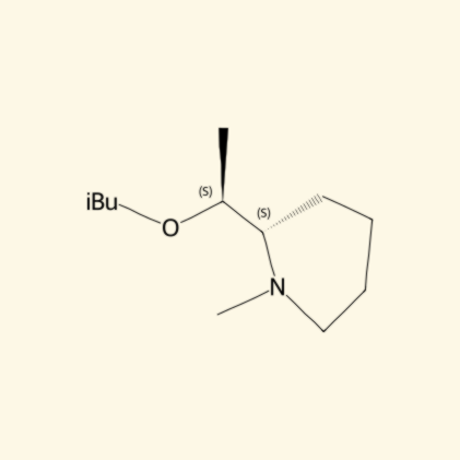 CCC(C)O[C@@H](C)[C@@H]1CCCCN1C